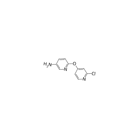 Nc1ccc(Oc2ccnc(Cl)c2)nc1